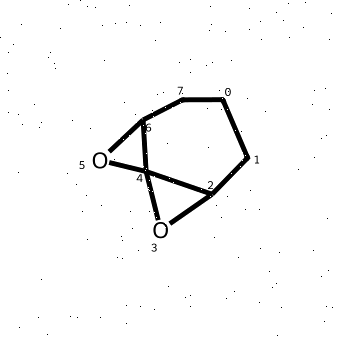 C1CC2OC23OC3C1